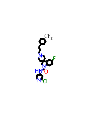 O=C(Nc1ccnc(Cl)c1)N1CC2(CCN(CC=Cc3ccc(C(F)(F)F)cc3)CC2)c2cc(F)ccc21